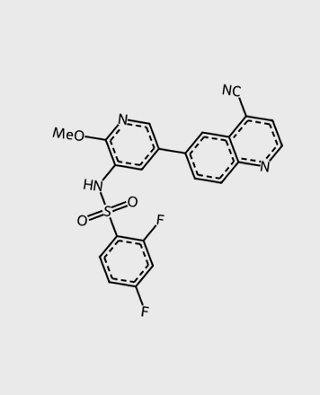 COc1ncc(-c2ccc3nccc(C#N)c3c2)cc1NS(=O)(=O)c1ccc(F)cc1F